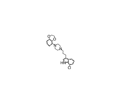 Clc1cccc2c(CCCN3CCN(c4cccc5c4OCCO5)CC3)c[nH]c12